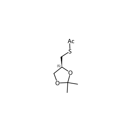 CC(=O)SC[C@@H]1COC(C)(C)O1